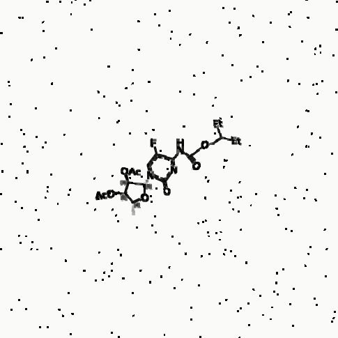 CCC(CC)COC(=O)Nc1nc(=O)n([C@@H]2O[C@H](C)[C@@H](OC(C)=O)[C@H]2OC(C)=O)cc1F